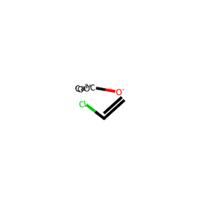 C=CCl.O=C([O-])[O-].[Ca+2]